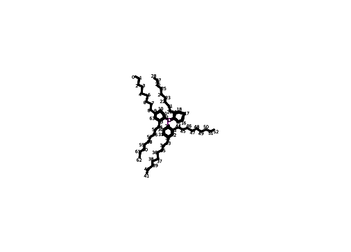 CCCCCCCCCc1ccc(P(c2ccccc2CCCCCCCCC)c2ccc(CCCCCCCCC)cc2CCCCCCCCC)c(CCCCCCCCC)c1